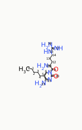 CCCCCc1cn(C(=O)C(N)CCCNC(=N)N)c(=O)nc1N